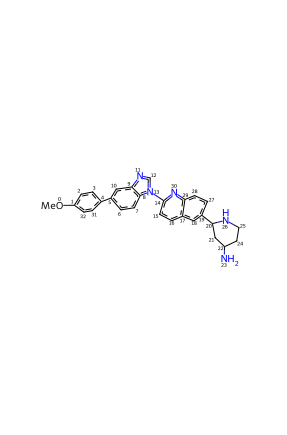 COc1ccc(-c2ccc3c(c2)ncn3-c2ccc3cc(C4CC(N)CCN4)ccc3n2)cc1